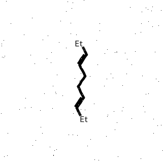 [CH2]C/C=C/CC/C=C/C[CH2]